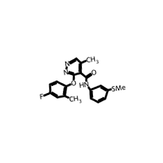 CSc1cccc(NC(=O)c2c(C)cnnc2Oc2ccc(F)cc2C)c1